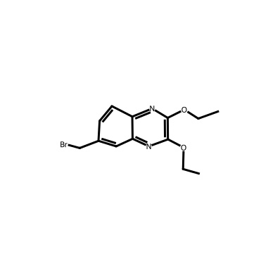 CCOc1nc2ccc(CBr)cc2nc1OCC